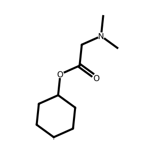 CN(C)CC(=O)OC1CC[CH]CC1